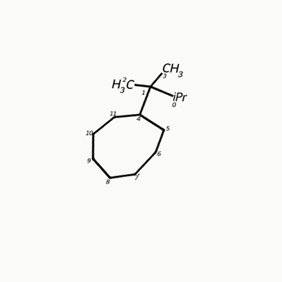 CC(C)C(C)(C)C1CC[CH]CCCC1